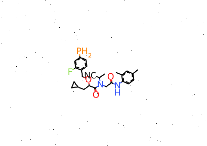 Cc1ccc(NC(=O)CN(C(=O)C(CC2CC2)OCc2ccc(P)cc2F)C(C)C#N)c(C)c1